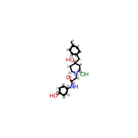 Cc1ccc(CC2(O)CCN(CC(=O)Nc3ccc(O)cc3)CC2)cc1.Cl